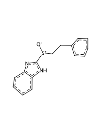 [O-][S+](CCc1ccccc1)c1nc2ccccc2[nH]1